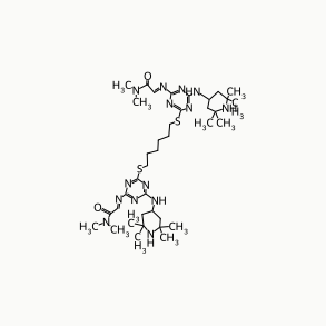 CN(C)C(=O)/C=N/c1nc(NC2CC(C)(C)NC(C)(C)C2)nc(SCCCCCCSc2nc(/N=C/C(=O)N(C)C)nc(NC3CC(C)(C)NC(C)(C)C3)n2)n1